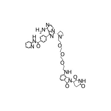 Nc1nccn2c([C@@H]3CCCN3CCOCCOCCOCCNc3cccc4c3CN(C3CCC(=O)NC3=O)C4=O)nc(-c3ccc(C(=O)Nc4ccccn4)cc3)c12